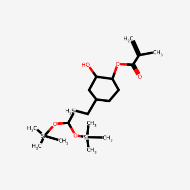 C=C(C)C(=O)OC1CCC(C[SiH2]C(O[Si](C)(C)C)O[Si](C)(C)C)CC1O